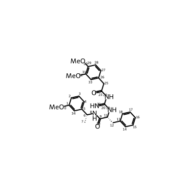 COc1cccc([C@@H](C)NC(=O)[C@@H](Cc2ccccc2)NC(=N)NC(=O)Cc2ccc(OC)c(OC)c2)c1